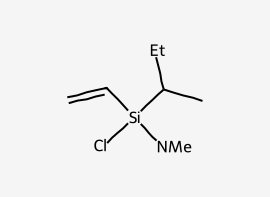 C=C[Si](Cl)(NC)C(C)CC